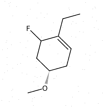 CCC1=CC[C@H](OC)CC1F